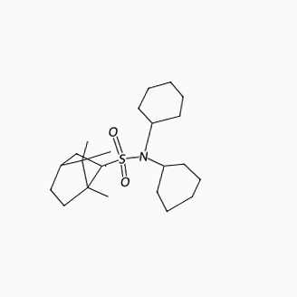 CC12CCC(C[C]1S(=O)(=O)N(C1CCCCC1)C1CCCCC1)C2(C)C